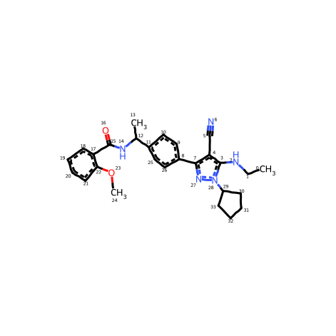 CCNc1c(C#N)c(-c2ccc(C(C)NC(=O)c3ccccc3OC)cc2)nn1C1CCCC1